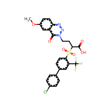 COc1ccc2nnn(CCC(C(=O)O)S(=O)(=O)c3ccc(-c4ccc(Cl)cc4)cc3C(F)(F)F)c(=O)c2c1